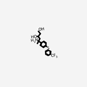 CC(N)(CC(O)CCO)c1ccc(Sc2cccc(C(F)(F)F)c2)cc1